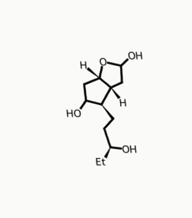 CC[C@H](O)CC[C@H]1C(O)C[C@@H]2OC(O)C[C@@H]21